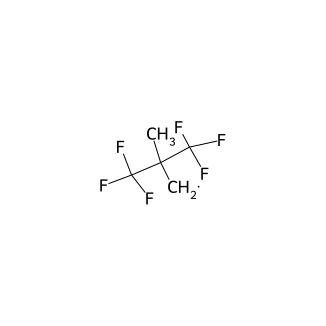 [CH2]C(C)(C(F)(F)F)C(F)(F)F